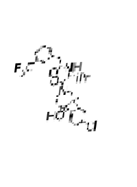 CC(C)[C@@H](NC(=O)Cc1cccc(C(F)(F)F)c1)C(=O)N1CC[C@](O)(c2ccc(Cl)cc2)C(C)(C)C1